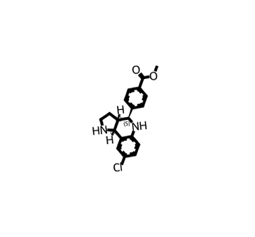 COC(=O)c1ccc([C@H]2Nc3ccc(Cl)cc3[C@@H]3NCC[C@H]23)cc1